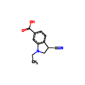 CCN1CC(C#N)c2ccc(C(=O)O)cc21